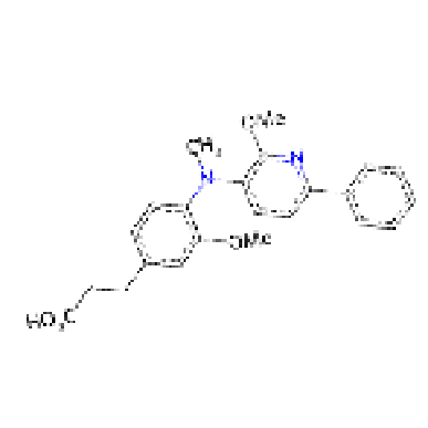 COc1cc(CCC(=O)O)ccc1N(C)c1ccc(-c2ccccc2)nc1OC